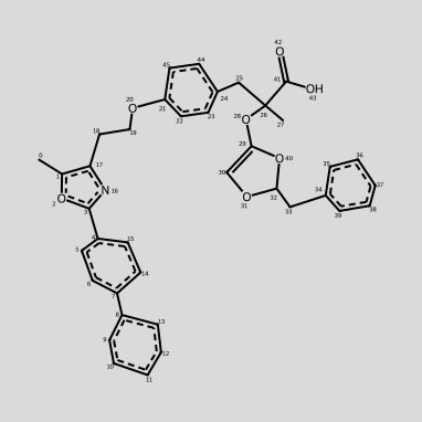 Cc1oc(-c2ccc(-c3ccccc3)cc2)nc1CCOc1ccc(CC(C)(OC2=COC(Cc3ccccc3)O2)C(=O)O)cc1